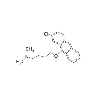 CN(C)CCCCOc1c2ccccc2cc2ccc(Cl)cc12